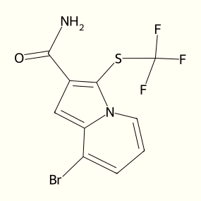 NC(=O)c1cc2c(Br)cccn2c1SC(F)(F)F